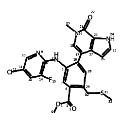 COC(=O)c1cc(Nc2ncc(Cl)cc2F)c(-c2cn(C)c(=O)c3[nH]ccc23)cc1CSC